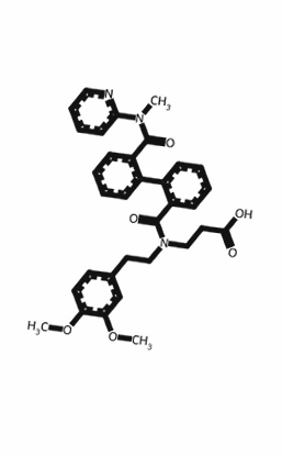 COc1ccc(CCN(CCC(=O)O)C(=O)c2ccccc2-c2ccccc2C(=O)N(C)c2ccccn2)cc1OC